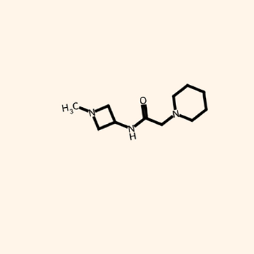 CN1CC(NC(=O)CN2CCCCC2)C1